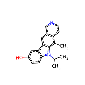 Cc1c2ccncc2cc2c3cc(O)ccc3n(C(C)C)c12